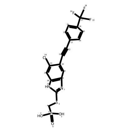 O=P(O)(O)CSc1nc2cc(C#Cc3ccc(C(F)(F)F)cc3)c(Cl)cc2[nH]1